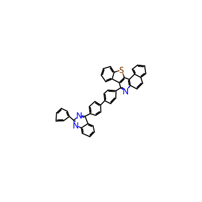 c1ccc(-c2nc(-c3ccc(-c4ccc(-c5nc6ccc7ccccc7c6c6sc7ccccc7c56)cc4)cc3)c3ccccc3n2)cc1